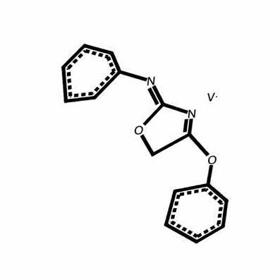 [V].c1ccc(N=C2N=C(Oc3ccccc3)CO2)cc1